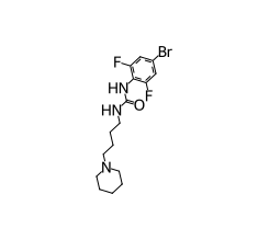 O=C(NCCCCN1CCCCC1)Nc1c(F)cc(Br)cc1F